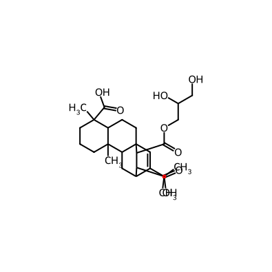 CC(C)C1=CC23CCC4C(C)(C(=O)O)CCCC4(C)C2CC1C(C(=O)O)C3C(=O)OCC(O)CO